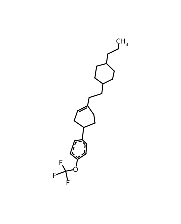 CCCC1CCC(CCC2=CCC(c3ccc(OC(F)(F)F)cc3)CC2)CC1